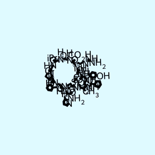 CC(C)[C@@H]1NC(=O)[C@H](CC(=O)O)NC(=O)[C@H](CCCNC(=N)N)NC(=O)[C@@H](NC(=O)[C@H](Cc2ccc(O)cc2)NC(=O)[C@H](NC(=O)c2ccccc2)C(C)CF)CSSC(CN)[C@@H](C(=O)N[C@@H](Cc2cccnc2)C(N)=O)NC(=O)[C@H](Cc2ccccc2)NC(=O)[C@@H]2CCCN2C(=O)CNC1=O